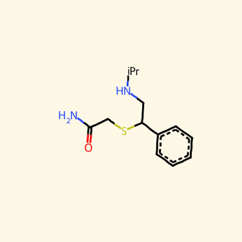 CC(C)NCC(SCC(N)=O)c1ccccc1